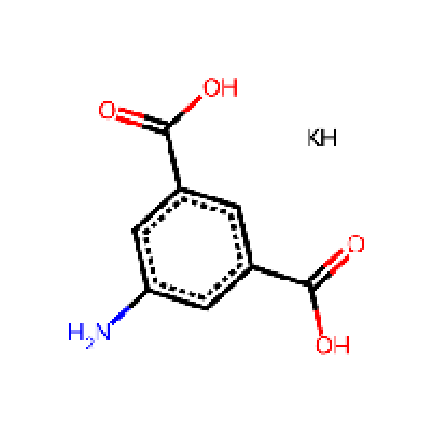 Nc1cc(C(=O)O)cc(C(=O)O)c1.[KH]